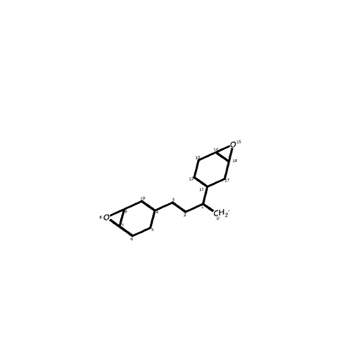 [CH2]C(CCC1CCC2OC2C1)C1CCC2OC2C1